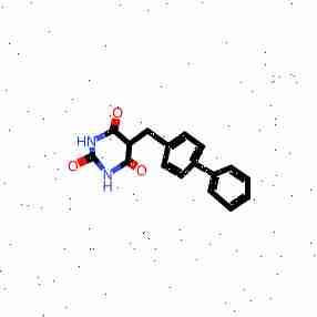 O=C1NC(=O)C(Cc2ccc(-c3ccccc3)cc2)C(=O)N1